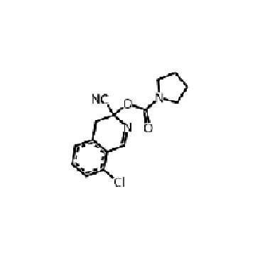 N#CC1(OC(=O)N2CCCC2)Cc2cccc(Cl)c2C=N1